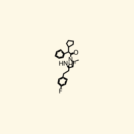 C[C@@H](CC(=N)CCc1ccc(F)cc1)NC(=O)C(c1ccccc1)C1CCCC1